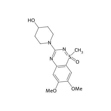 COc1cc2c(cc1OC)S(C)(=O)=NC(N1CCC(O)CC1)=N2